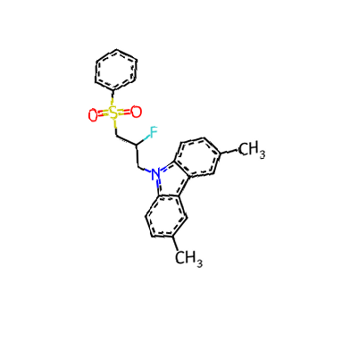 Cc1ccc2c(c1)c1cc(C)ccc1n2CC(F)CS(=O)(=O)c1ccccc1